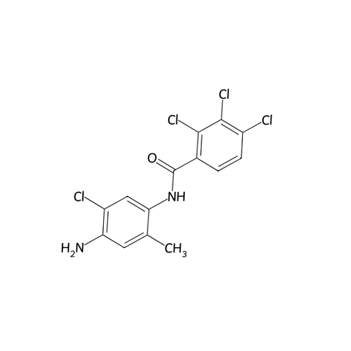 Cc1cc(N)c(Cl)cc1NC(=O)c1ccc(Cl)c(Cl)c1Cl